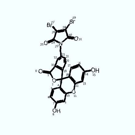 O=C1OC2(c3ccc(O)cc3Oc3cc(O)ccc32)c2ccc(N3C(=O)C(Br)=C(Br)C3=O)cc21